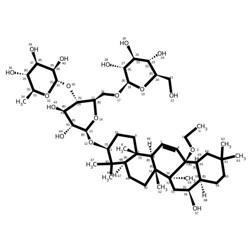 CCO[C@]12C=C[C@@H]3[C@@]4(C)CC[C@H](O[C@@H]5O[C@H](CO[C@@H]6O[C@H](CO)[C@@H](O)[C@H](O)[C@H]6O)[C@@H](O[C@@H]6O[C@@H](C)[C@H](O)[C@@H](O)[C@H]6O)[C@H](O)[C@H]5O)C(C)(C)[C@@H]4CC[C@@]3(C)[C@]1(C)C[C@H](O)[C@@H]1CCC(C)(C)C[C@H]12